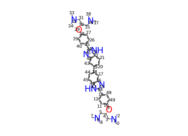 CN(C)CC(CN(C)C)Oc1ccc(-c2nc3cc(-c4ccc5[nH]c(-c6ccc(OC(CN(C)C)CN(C)C)cc6)nc5c4)ccc3[nH]2)cc1